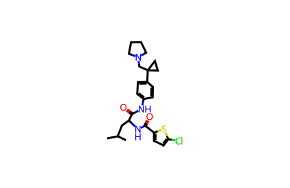 CC(C)CC(NC(=O)c1ccc(Cl)s1)C(=O)Nc1ccc(C2(CN3CCCC3)CC2)cc1